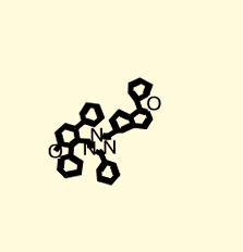 c1ccc(-c2nc(-c3ccc4c(ccc5oc6ccccc6c54)c3)nc(-c3c(-c4ccccc4)ccc4oc5ccccc5c34)n2)cc1